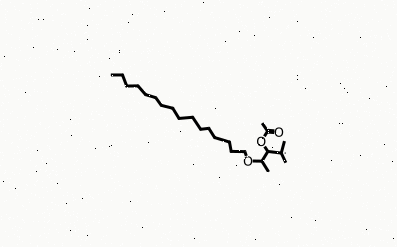 CCCCCCCCCCCCCCCCOC(C)C(OC(C)=O)[C](C)C